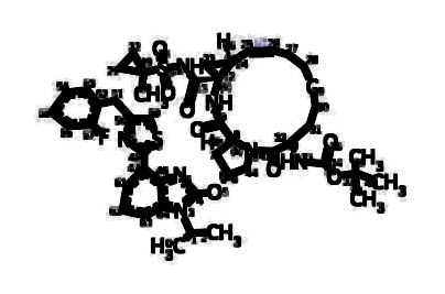 CC(C)n1c(O[C@@H]2C[C@H]3C(=O)N[C@]4(C(=O)NS(=O)(=O)C5(C)CC5)C[C@H]4/C=C\CCCCC[C@H](NC(=O)OC(C)(C)C)C(=O)N3C2)nc2c(-c3nc(Cc4ccccc4F)cs3)cccc21